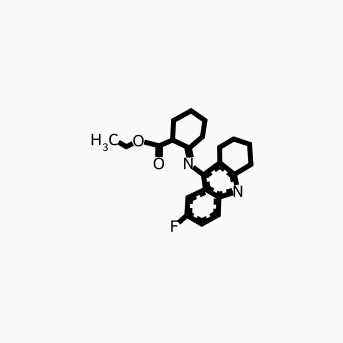 CCOC(=O)C1CCCCC1=Nc1c2c(nc3ccc(F)cc13)CCCC2